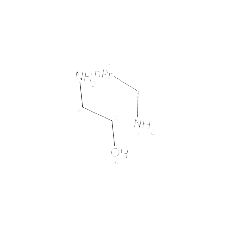 CCCCN.NCCO